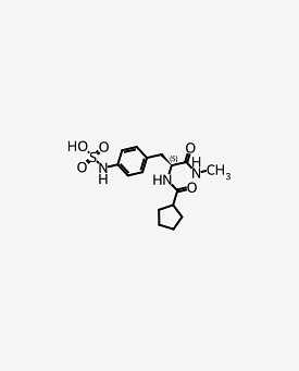 CNC(=O)[C@H](Cc1ccc(NS(=O)(=O)O)cc1)NC(=O)C1CCCC1